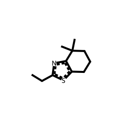 CCc1nc2c(s1)CCCC2(C)C